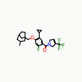 CC1CC2CCC(COc3cc(F)c(C(=O)N4CC=C(C(F)(F)F)C4)cc3C3CC3)(C1)C2